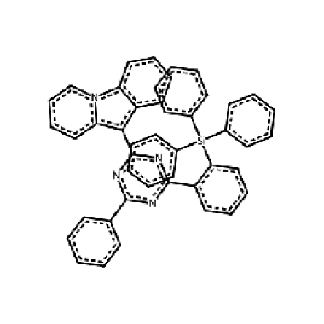 c1ccc(-c2nc(-c3ccccc3[Si](c3ccccc3)(c3ccccc3)c3ccccc3)nc(-c3c4ccccc4n4ccccc34)n2)cc1